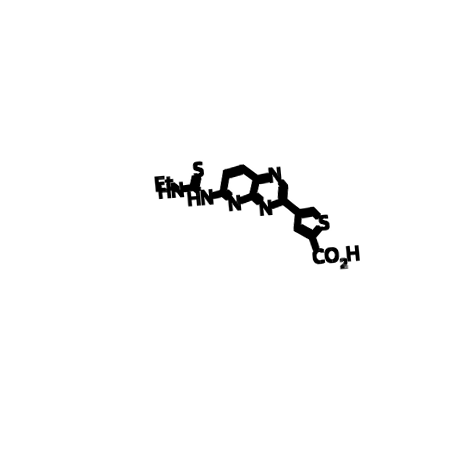 CCNC(=S)Nc1ccc2ncc(-c3csc(C(=O)O)c3)nc2n1